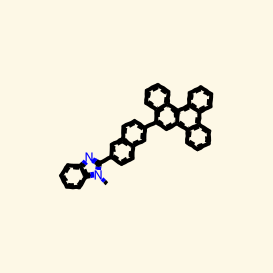 Cn1c(-c2ccc3cc(-c4cc5c6ccccc6c6ccccc6c5c5ccccc45)ccc3c2)nc2ccccc21